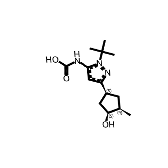 C[C@@H]1C[C@H](c2cc(NC(=O)O)n(C(C)(C)C)n2)C[C@@H]1O